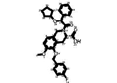 COc1ccc2c(c1OCc1ccc(F)cc1)C[C@@H](C(=O)O)N(C(=O)[C@@H](OC1CCCC1)c1ccccc1)C2